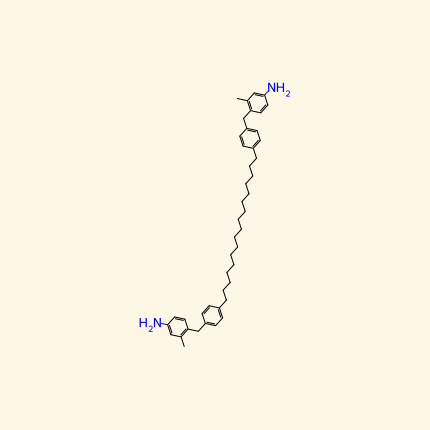 Cc1cc(N)ccc1Cc1ccc(CCCCCCCCCCCCCCCCCc2ccc(Cc3ccc(N)cc3C)cc2)cc1